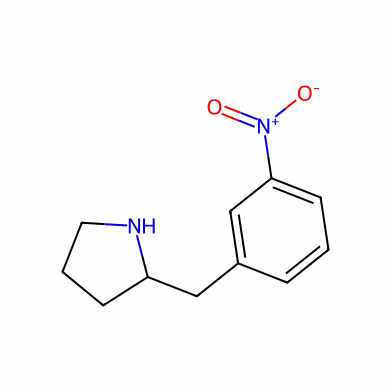 O=[N+]([O-])c1cccc(CC2CCCN2)c1